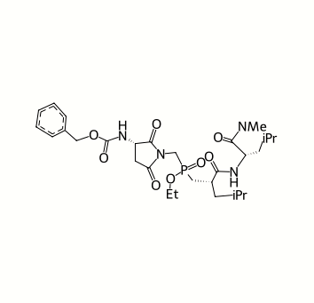 CCOP(=O)(C[C@@H](CC(C)C)C(=O)N[C@@H](CC(C)C)C(=O)NC)CN1C(=O)C[C@H](NC(=O)OCc2ccccc2)C1=O